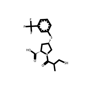 CC(CS)C(=O)N1C[C@@H](Sc2cccc(C(F)(F)F)c2)C[C@H]1C(=O)O